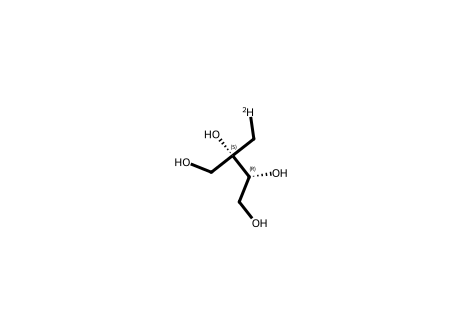 [2H]C[C@](O)(CO)[C@H](O)CO